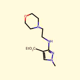 CCOC(=O)c1cn(C)nc1NCCN1CCOCC1